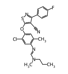 CCCN(C)C=Nc1cc(Cl)c(Oc2snc(-c3ccc(F)cc3)c2C#N)cc1C